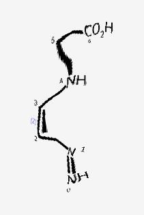 N=N/C=C\NCC(=O)O